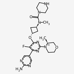 C[C@H]1COCCN1c1nc(O[C@H]2C[C@H](N(C)C(=O)N3CCNCC3)C2)c(F)c(-c2cnc(N)nc2)n1